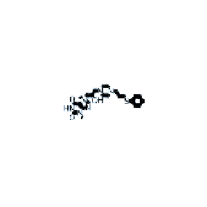 Cn1c2c(c(=O)[nH]c1=O)[N+](C)(CC(O)CN1CCN(CCCSc3ccccc3)CC1)C=N2